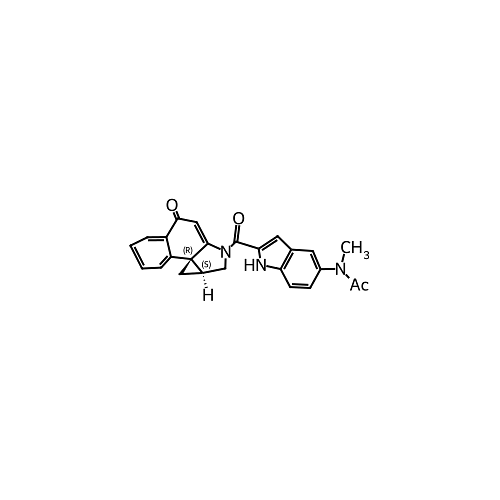 CC(=O)N(C)c1ccc2[nH]c(C(=O)N3C[C@H]4C[C@@]45C3=CC(=O)c3ccccc35)cc2c1